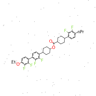 CCCc1ccc(C2CCC(C(=O)OC3CCC(c4ccc(-c5ccc(OCC)c(F)c5F)c(F)c4F)CC3)CC2)c(F)c1F